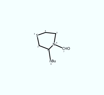 CCCCC1CSCCN1C=O